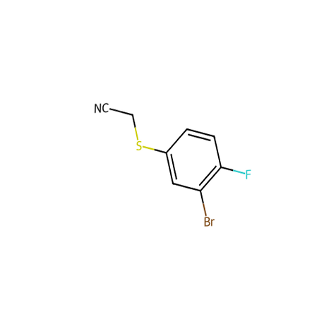 N#CCSc1ccc(F)c(Br)c1